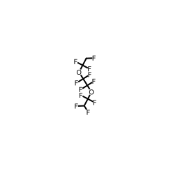 FCC(F)(F)OC(F)(F)C(F)(F)OC(F)(F)C(F)F